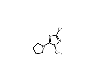 Cn1nc(Br)nc1N1CCCC1